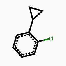 Clc1c[c]ccc1C1CC1